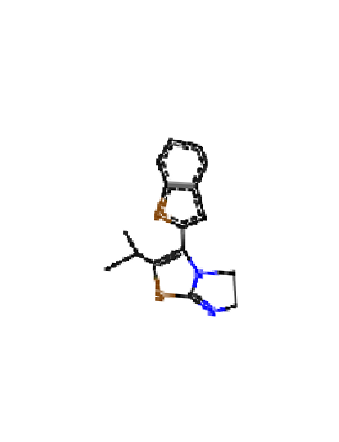 CC(C)C1=C(c2cc3ccccc3s2)N2CCN=C2S1